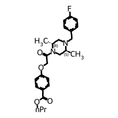 CCCOC(=O)c1ccc(OCC(=O)N2C[C@H](C)N(Cc3ccc(F)cc3)C[C@H]2C)cc1